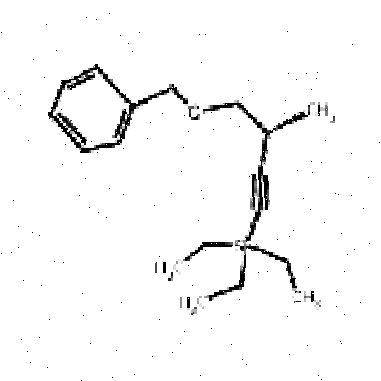 CC[Si](C#C[C@H](C)COCc1ccccc1)(CC)CC